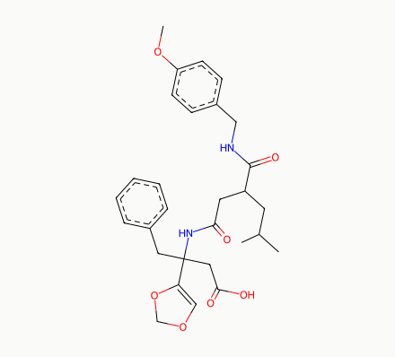 COc1ccc(CNC(=O)C(CC(=O)NC(CC(=O)O)(Cc2ccccc2)C2=COCO2)CC(C)C)cc1